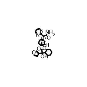 NC(=O)C(c1ncccn1)[N+]12CCC(CC1)[C@@H](OC(=O)C(O)(c1ccoc1)C1CCCCC1)C2